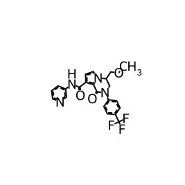 COCC1CN(c2ccc(C(F)(F)F)cc2)C(=O)c2c(C(=O)Nc3cccnc3)ccn21